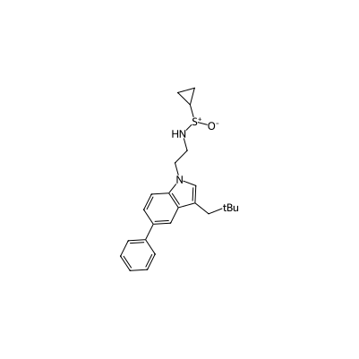 CC(C)(C)Cc1cn(CCN[S+]([O-])C2CC2)c2ccc(-c3ccccc3)cc12